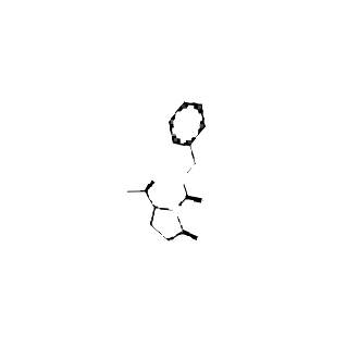 CC(=O)C1CCC(=O)N1C(=O)OCc1ccccc1